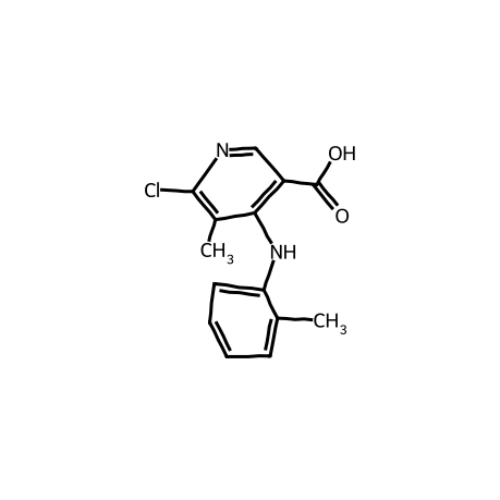 Cc1ccccc1Nc1c(C(=O)O)cnc(Cl)c1C